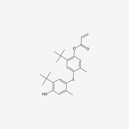 C=CC(=O)Oc1cc(C)c(Sc2cc(C(C)(C)C)c(O)cc2C)cc1C(C)(C)C